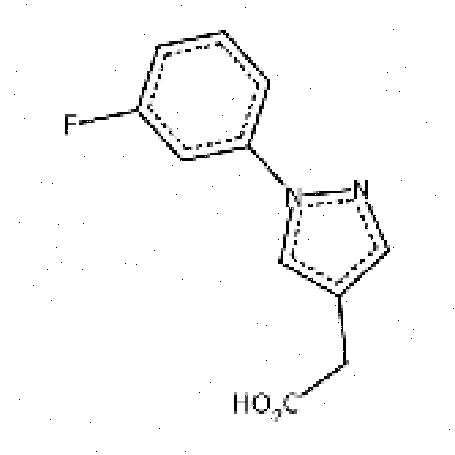 O=C(O)Cc1cnn(-c2cccc(F)c2)c1